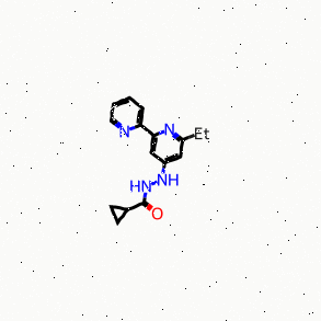 CCc1cc(NNC(=O)C2CC2)cc(-c2ccccn2)n1